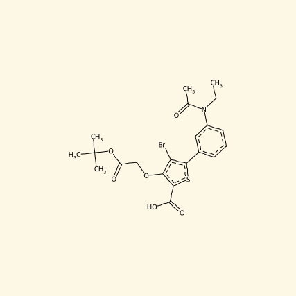 CCN(C(C)=O)c1cccc(-c2sc(C(=O)O)c(OCC(=O)OC(C)(C)C)c2Br)c1